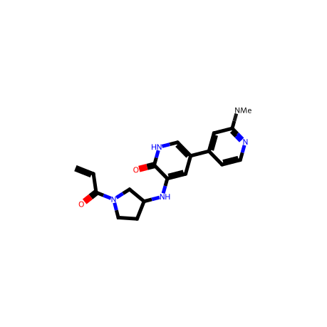 C=CC(=O)N1CCC(Nc2cc(-c3ccnc(NC)c3)c[nH]c2=O)C1